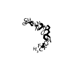 C[S+]([O-])C1CN(c2ncc(N3CCC(Cc4ccc(OCC(C)(F)F)nc4)C3=O)cn2)C1